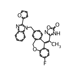 C/C(=C1/c2ccc(Cn3c(-c4ccco4)nc4ccccc43)cc2COc2cc(F)ccc21)c1noc(=O)[nH]1